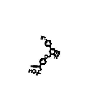 CC#CC(CC(=O)O)c1ccc(OCc2cc(-c3ccc(C(C)C)cc3)cn3ncnc23)cc1